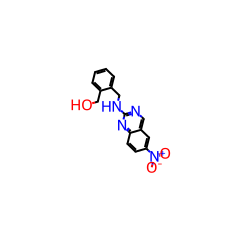 O=[N+]([O-])c1ccc2nc(NCc3ccccc3CO)ncc2c1